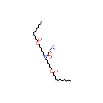 CCCCCC/C=C\CCC(=O)OCCCCCCN(CCCCCCOC(=O)CC/C=C\CCCCCC)C(=O)CSCN(C)C